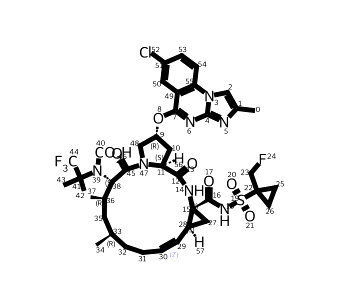 Cc1cn2c(n1)nc(O[C@@H]1C[C@H]3C(=O)N[C@]4(C(=O)NS(=O)(=O)C5(CF)CC5)C[C@H]4/C=C\CC[C@@H](C)C[C@@H](C)[C@H](N(C(=O)O)C(C)(C)C(F)(F)F)C(=O)N3C1)c1cc(Cl)ccc12